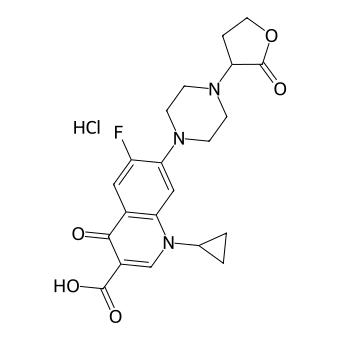 Cl.O=C(O)c1cn(C2CC2)c2cc(N3CCN(C4CCOC4=O)CC3)c(F)cc2c1=O